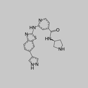 O=C(N[C@H]1CCNC1)c1ccnc(Nc2nc3ccc(-c4cn[nH]c4)cc3s2)c1